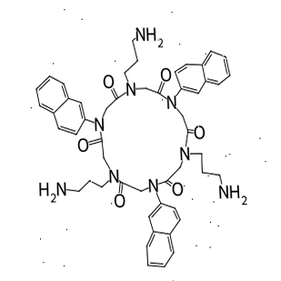 NCCCN1CC(=O)N(c2ccc3ccccc3c2)CC(=O)N(CCCN)CC(=O)N(c2ccc3ccccc3c2)CC(=O)N(CCCN)CC(=O)N(c2ccc3ccccc3c2)CC1=O